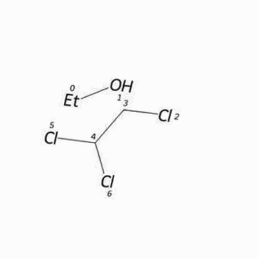 CCO.ClCC(Cl)Cl